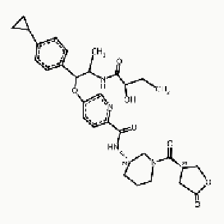 CCC(O)C(=O)NC(C)C(Oc1ccc(C(=O)N[C@H]2CCCN(C(=O)[C@H]3COC(=O)C3)C2)nc1)c1ccc(C2CC2)cc1